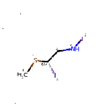 CS[C@@H](I)CNI